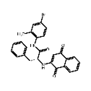 Cc1cc(Br)ccc1NC(=O)[C@@H](Cc1ccccc1)NC1=CC(=O)c2ccccc2C1=O